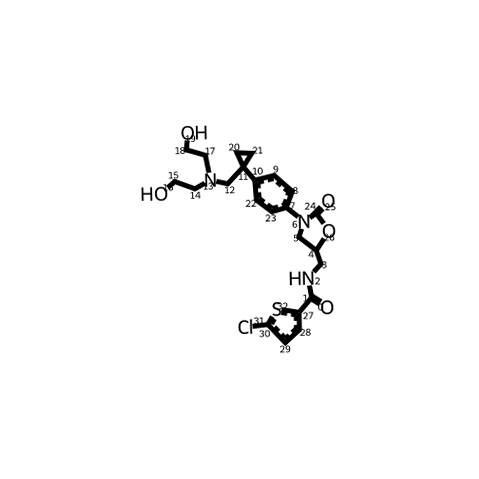 O=C(NCC1CN(c2ccc(C3(CN(CCO)CCO)CC3)cc2)C(=O)O1)c1ccc(Cl)s1